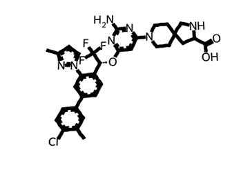 Cc1ccn(-c2cc(-c3ccc(Cl)c(C)c3)ccc2[C@@H](Oc2cc(N3CCC4(CC3)CNC(C(=O)O)C4)nc(N)n2)C(F)(F)F)n1